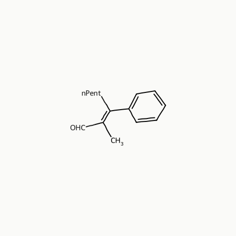 CCCCCC(=C(C)C=O)c1ccccc1